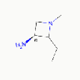 CCC1[C@@H](N)CN1C